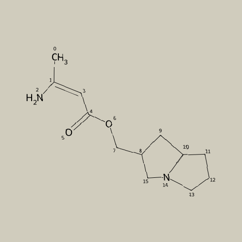 CC(N)=CC(=O)OCC1CC2CCCN2C1